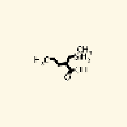 CCC=C(C[SiH2]C)C(=O)O